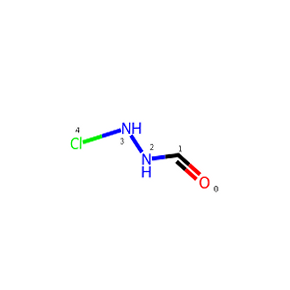 O=CNNCl